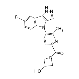 Cc1nc(C(=O)N2CC(O)C2)ccc1-n1c2ccc(F)cc2c2[nH]ncc21